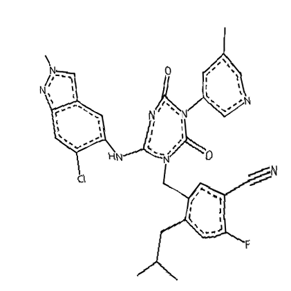 Cc1cncc(-n2c(=O)nc(Nc3cc4cn(C)nc4cc3Cl)n(Cc3cc(C#N)c(F)cc3CC(C)C)c2=O)c1